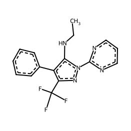 CCNc1c(-c2ccccc2)c(C(F)(F)F)nn1-c1ncccn1